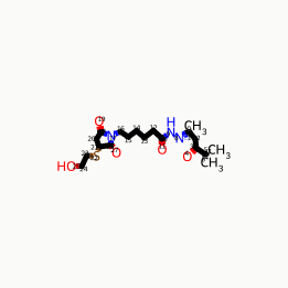 C/C(CC(=O)C(C)C)=N\NC(=O)CCCCCN1C(=O)CC(SCCO)C1=O